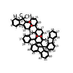 CC1(C)c2ccccc2-c2cc(N(c3ccccc3-c3ccccc3)c3ccccc3-c3ccc4c(c3)C3(c5ccccc5-c5ccccc53)c3cccc5c6ccccc6n-4c35)ccc21